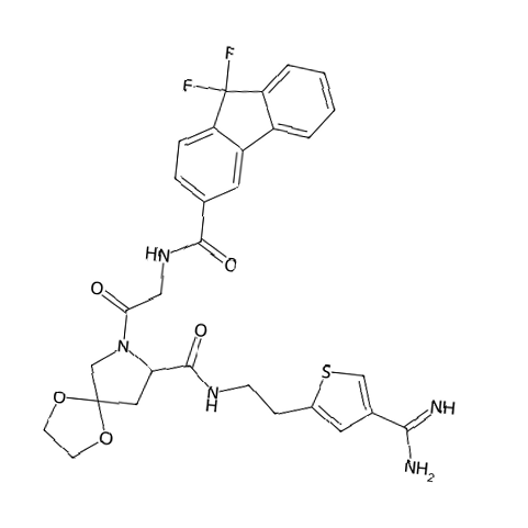 N=C(N)c1csc(CCNC(=O)C2CC3(CN2C(=O)CNC(=O)c2ccc4c(c2)-c2ccccc2C4(F)F)OCCO3)c1